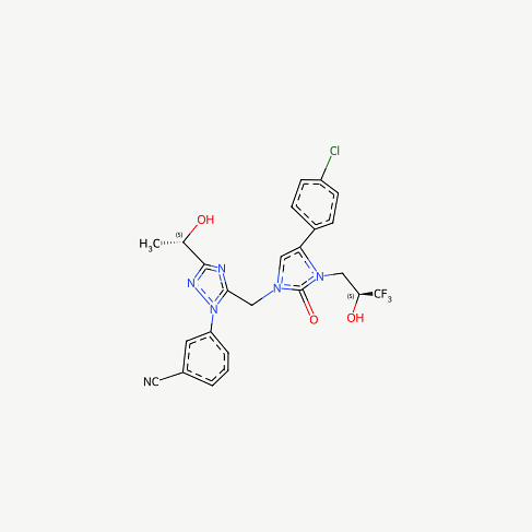 C[C@H](O)c1nc(Cn2cc(-c3ccc(Cl)cc3)n(C[C@H](O)C(F)(F)F)c2=O)n(-c2cccc(C#N)c2)n1